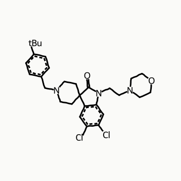 CC(C)(C)c1ccc(CN2CCC3(CC2)C(=O)N(CCN2CCOCC2)c2cc(Cl)c(Cl)cc23)cc1